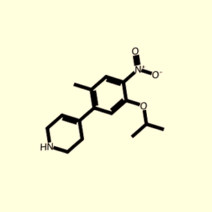 Cc1cc([N+](=O)[O-])c(OC(C)C)cc1C1=CCNCC1